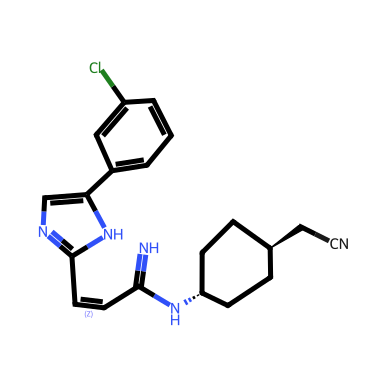 N#CC[C@H]1CC[C@H](NC(=N)/C=C\c2ncc(-c3cccc(Cl)c3)[nH]2)CC1